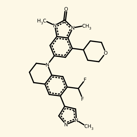 Cn1cc(-c2cc3c(cc2C(F)F)N(c2cc(C4CCOCC4)c4c(c2)n(C)c(=O)n4C)CCC3)cn1